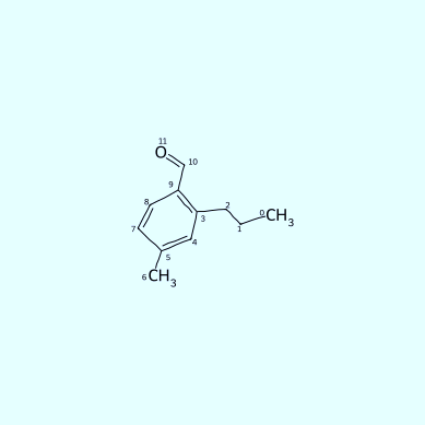 CCCc1cc(C)ccc1C=O